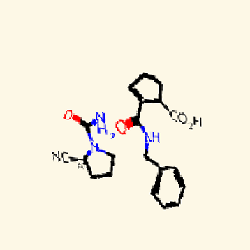 N#C[C@@H]1CCCN1C(N)=O.O=C(NCc1ccccc1)C1=CCCC1C(=O)O